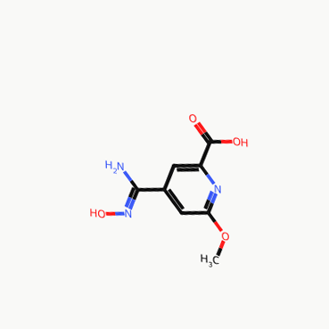 COc1cc(/C(N)=N/O)cc(C(=O)O)n1